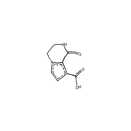 O=C(O)c1ccn2c1C(=O)NCC2